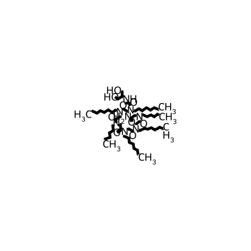 CCCCCCCCN(CC(=O)N(CCCCCCCC)CC(=O)N(CCCCCC)CC(=O)N(CCCCCCCC)CC(=O)N(CCCCCCCC)CC(=O)N(CCCCCC)CC(N)=O)C(=O)CNC(CO)CO